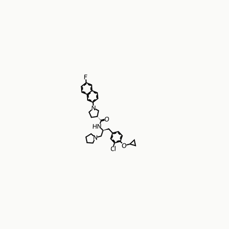 O=C(N[C@@H](Cc1ccc(OC2CC2)c(Cl)c1)CN1CCCC1)[C@@H]1CCN(c2ccc3cc(F)ccc3c2)C1